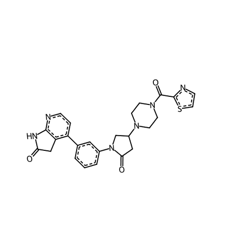 O=C1Cc2c(-c3cccc(N4CC(N5CCN(C(=O)c6nccs6)CC5)CC4=O)c3)ccnc2N1